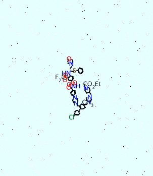 CCOC(=O)CN1CCC(CN2CCN(CC3(C)CCC(c4ccc(Cl)cc4)=C(CN4CCN(c5ccc(C(=O)NS(=O)(=O)c6ccc(N[C@H](CCN7CCOCC7)CSc7ccccc7)c(S(=O)(=O)C(F)(F)F)c6)cc5)CC4)C3)CC2)CC1